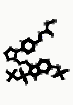 CC(C)(C)CS(=O)(=O)c1[nH]c2cc(NS(C)(=O)=O)ccc2c1CCN1CCCC1c1ccc(/C=C/C(=O)NO)cc1